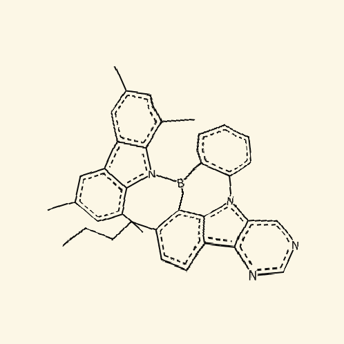 CCCCc1ccc2c3ncncc3n3c2c1B(n1c2c(C)cc(C)cc2c2cc(C)cc(C)c21)c1ccccc1-3